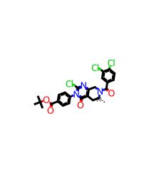 C[C@@H]1Cc2c(nc(Cl)n(-c3ccc(C(=O)OC(C)(C)C)cc3)c2=O)CN1C(=O)c1ccc(Cl)c(Cl)c1